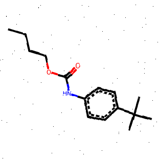 CCCCOC(=O)Nc1ccc(C(C)(C)C)cc1